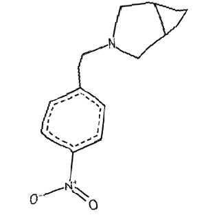 O=[N+]([O-])c1ccc(CN2CC3CC3C2)cc1